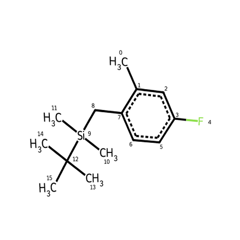 Cc1cc(F)ccc1C[Si](C)(C)C(C)(C)C